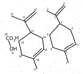 C=C(C)C1CC=C(C)CC1.C=C(C)C1CC=C(C)CC1.O=C(O)O